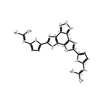 N#CC(C#N)=Nc1ccc(-c2nc3c4nsnc4c4nc(-c5ccc(N=C(C#N)C#N)s5)sc4c3s2)s1